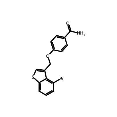 NC(=O)c1ccc(OCc2csc3cccc(Br)c23)cc1